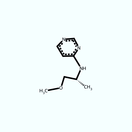 COC[C@@H](C)Nc1ccncn1